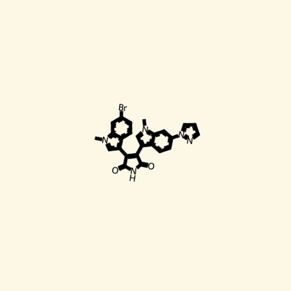 Cn1cc(C2=C(c3cn(C)c4cc(-n5cccn5)ccc34)C(=O)NC2=O)c2ccc(Br)cc21